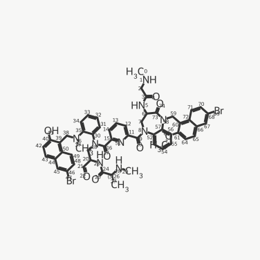 CNCC(=O)NC1CN(C(=O)c2cccc(C(=O)N(CC(C=O)NC(=O)[C@H](C)NC)c3ccccc3N(C)Cc3c(O)ccc4cc(Br)ccc34)n2)c2ccccc2N(Cc2c(OC)ccc3cc(Br)ccc23)C1=O